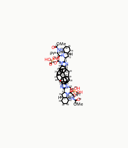 COC(=O)N[C@H](C(=O)N1[C@H](c2nc3cc(-c4cc5ccc4CCc4ccc(c(-c6ccc7c(c6)nc([C@@H]6C[C@@H]8CCCC[C@@H]8N6C(=O)[C@@H](NC(=O)OC)C(C)C)n7COP(=O)(O)O)c4)CC5)ccc3n2COP(=O)(O)O)C[C@@H]2CCCC[C@@H]21)C(C)C